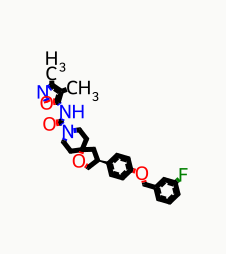 Cc1noc(NC(=O)N2CCC3(CC2)C[C@@H](c2ccc(OCc4cccc(F)c4)cc2)CO3)c1C